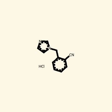 Cl.N#Cc1ccccc1Cn1ccnc1